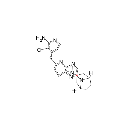 CN(C)[C@@H]1C[C@H]2CC[C@@H](C1)N2c1cnc2nc(Sc3ccnc(N)c3Cl)ccc2n1